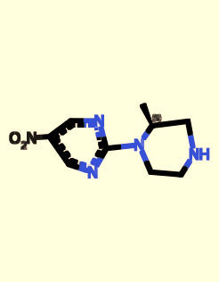 C[C@H]1CNCCN1c1ncc([N+](=O)[O-])cn1